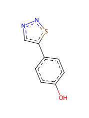 Oc1ccc(-c2cnns2)cc1